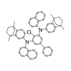 CC12CCC(C)(CC1)c1cc(N(c3cc(-c4ccccc4)cc(N(c4ccc5c(c4)C4(C)CCC5(C)CC4)c4cccc5ccccc45)c3Cl)c3cccc4ccccc34)ccc12